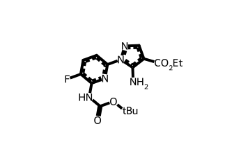 CCOC(=O)c1cnn(-c2ccc(F)c(NC(=O)OC(C)(C)C)n2)c1N